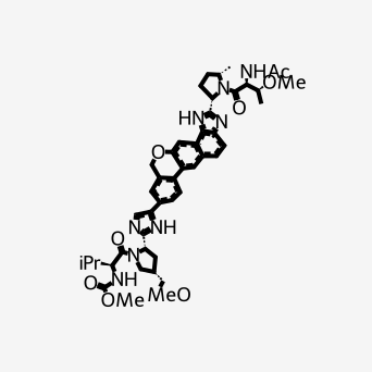 COC[C@H]1C[C@@H](c2ncc(-c3ccc4c(c3)COc3cc5c(ccc6nc([C@@H]7CC[C@H](C)N7C(=O)[C@@H](NC(C)=O)[C@@H](C)OC)[nH]c65)cc3-4)[nH]2)N(C(=O)[C@@H](NC(=O)OC)C(C)C)C1